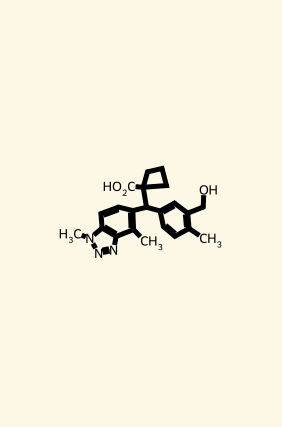 Cc1ccc(C(c2ccc3c(nnn3C)c2C)C2(C(=O)O)CCC2)cc1CO